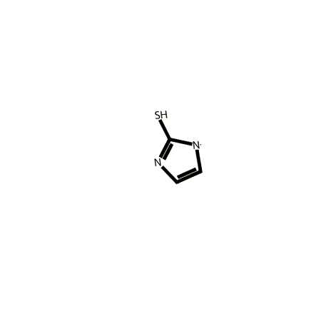 SC1=NC=C[N]1